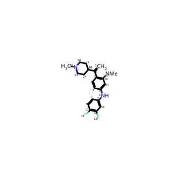 C=C(c1ccc(Nc2ccc(F)c(F)c2)cc1NC)C1CCN(C)CC1